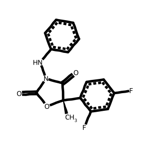 C[C@@]1(c2ccc(F)cc2F)OC(=O)N(Nc2ccccc2)C1=O